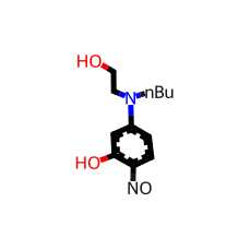 CCCCN(CCO)c1ccc(N=O)c(O)c1